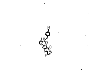 CCn1c(C(F)F)nc2sc(N3CCC[C@@H]3C(=O)NCc3ccc(C#N)cc3)nc2c1=O